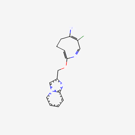 N/C1=C(F)/C=N\C(OCc2cn3ccccc3n2)=C\CC1